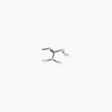 CN=C(NN)N(N)N